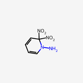 NN1C=CC=CC1([N+](=O)[O-])[N+](=O)[O-]